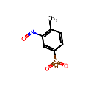 Cc1ccc([SH](=O)=O)cc1N=O